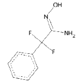 N/C(=N\O)C(F)(F)c1ccccc1